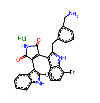 CCc1cccc2c(C3=C(c4c(C)[nH]c5ccccc45)C(=O)NC3=O)c(Cc3cccc(CN)c3)[nH]c12.Cl